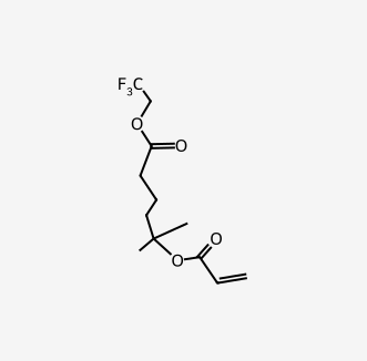 C=CC(=O)OC(C)(C)CCCC(=O)OCC(F)(F)F